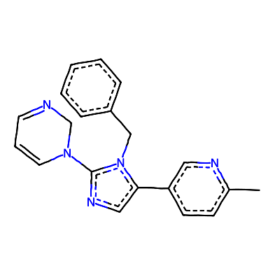 Cc1ccc(-c2cnc(N3C=CC=NC3)n2Cc2ccccc2)cn1